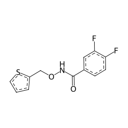 O=C(NOCc1cccs1)c1ccc(F)c(F)c1